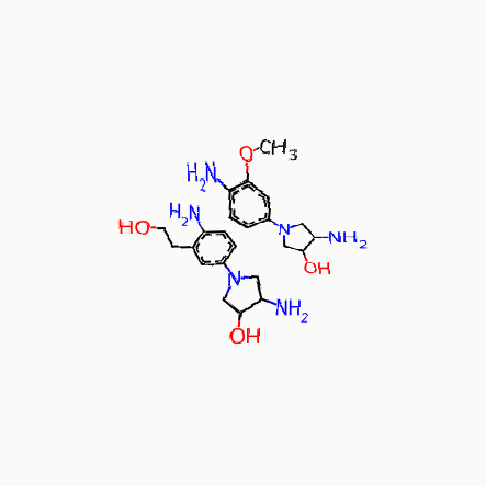 COc1cc(N2CC(N)C(O)C2)ccc1N.Nc1ccc(N2CC(N)C(O)C2)cc1CCO